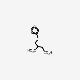 O=C(O)CC(CSc1cscn1)C(=O)O